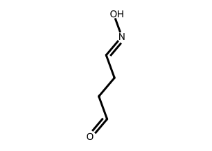 O=CCCC=NO